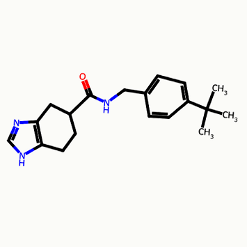 CC(C)(C)c1ccc(CNC(=O)C2CCc3[nH]cnc3C2)cc1